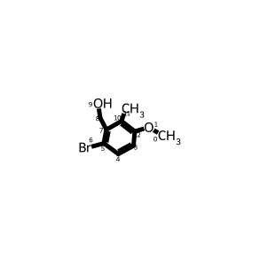 COc1ccc(Br)c(CO)c1C